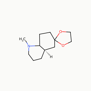 CN1CCC[C@@H]2CC3(CCC21)OCCO3